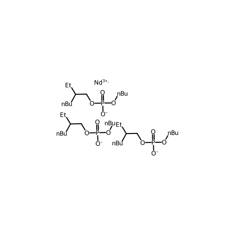 CCCCOP(=O)([O-])OCC(CC)CCCC.CCCCOP(=O)([O-])OCC(CC)CCCC.CCCCOP(=O)([O-])OCC(CC)CCCC.[Nd+3]